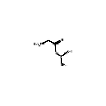 NB(O)OC(=O)CC(=O)O